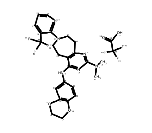 CN(C)c1nc2c(c(Nc3ccc4c(c3)OCCO4)n1)CCN(c1ncccc1C(F)(F)F)CC2.O=C(O)C(F)(F)F